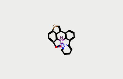 c1cc2c3c(c1)-c1cccc[n+]1[PH]31c3c(ccc4scc-2c34)-c2cccc[n+]21